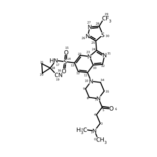 CN(C)CCC(=O)N1CCN(c2cc(S(=O)(=O)NC3(C#N)CC3)cn3c(-c4nnc(C(F)(F)F)s4)ncc23)CC1